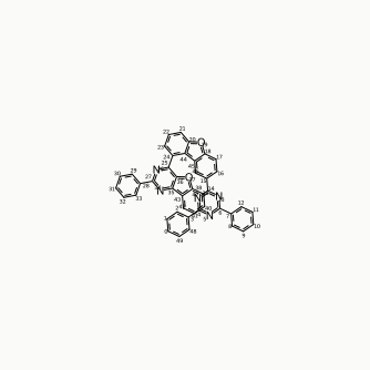 c1ccc(-c2nc(-c3ccccc3)nc(-c3ccc4oc5cccc(-c6nc(-c7ccccc7)nc7c6oc6ccccc67)c5c4c3)n2)cc1